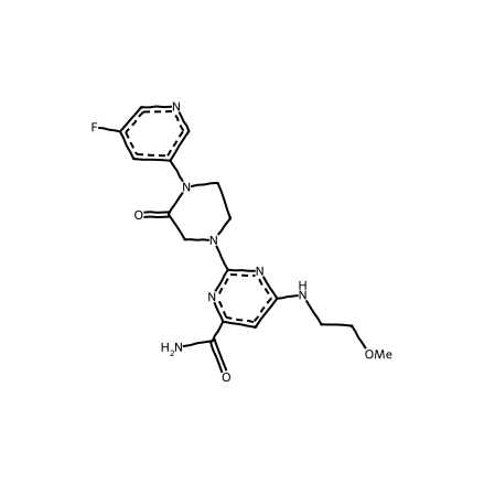 COCCNc1cc(C(N)=O)nc(N2CCN(c3cncc(F)c3)C(=O)C2)n1